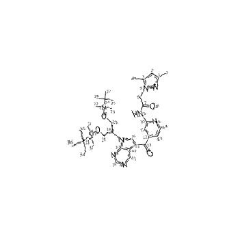 Cc1cc(C)n(CC(=O)Nc2cc(C(=O)c3cn(C(CO[Si](C)(C)C(C)(C)C)CO[Si](C)(C)C(C)(C)C)c4ncncc34)ccn2)n1